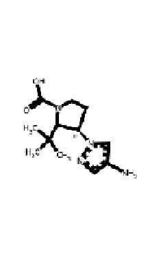 CC(C)(C)C1[C@H](n2cc(N)cn2)CCN1C(=O)O